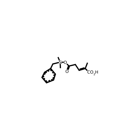 CC(=CCC(=O)O[Si](C)(C)Cc1ccccc1)C(=O)O